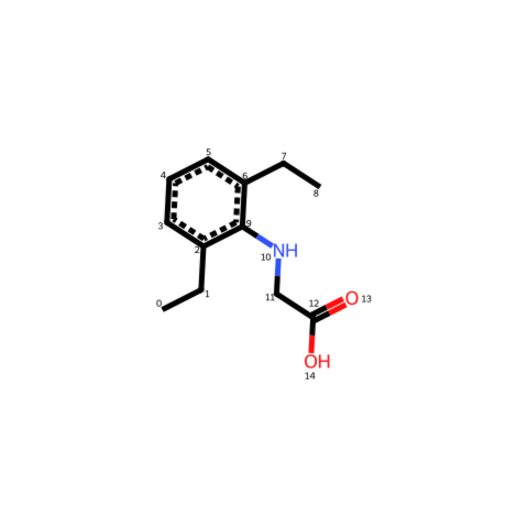 CCc1cccc(CC)c1NCC(=O)O